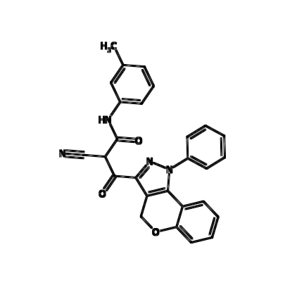 Cc1cccc(NC(=O)C(C#N)C(=O)c2nn(-c3ccccc3)c3c2COc2ccccc2-3)c1